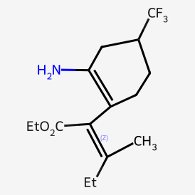 CCOC(=O)/C(C1=C(N)CC(C(F)(F)F)CC1)=C(/C)CC